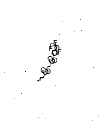 CCC=C[C@H]1CO[C@H](CC[C@H]2CO[C@H](c3cc(F)c(OC(F)F)c(F)c3)OC2)OC1